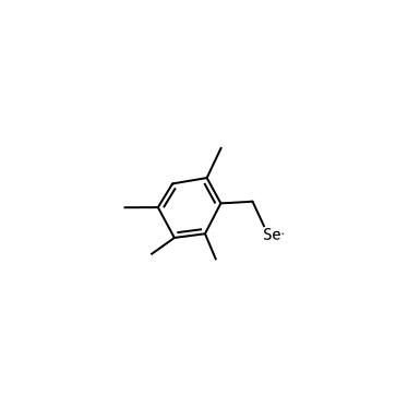 Cc1cc(C)c(C[Se])c(C)c1C